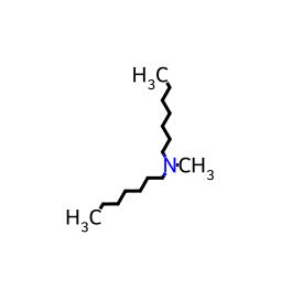 CCCCCCCN(C)CCCCCCC